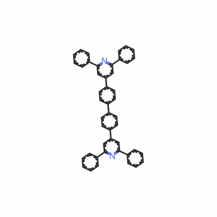 c1ccc(-c2cc(-c3ccc(-c4ccc(-c5cc(-c6ccccc6)nc(-c6ccccc6)c5)cc4)cc3)cc(-c3ccccc3)n2)cc1